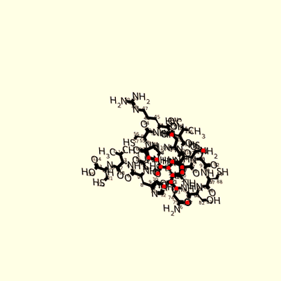 CC(C)[C@H](NC(=O)[C@H](Cc1c[nH]cn1)NC(=O)[C@@H]1CCCN1C(=O)[C@H](CC(N)=O)NC(=O)[C@H](CC(N)=O)NC(=O)[C@@H](NC(=O)[C@H](CCCN=C(N)N)NC(=O)[C@H](CS)NC(=O)[C@H](C)NC(=O)[C@@H]1CCCN1C(=O)[C@H](CC(N)=O)NC(=O)[C@H](CO)NC(=O)[C@H](CS)NC(=O)[C@H](CS)NC(=O)[C@H](CCC(=O)O)NC(=O)[C@@H](N)CC(=O)O)C(C)C)C(=O)N[C@@H](CS)C(=O)O